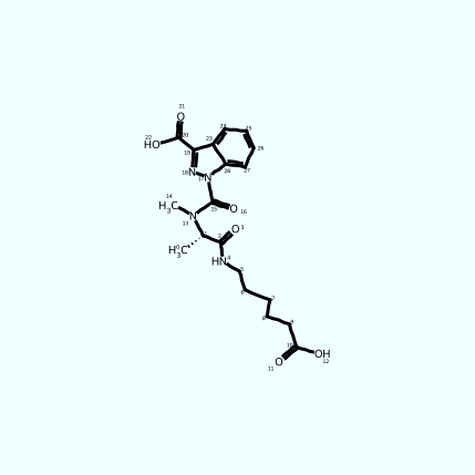 C[C@@H](C(=O)NCCCCCC(=O)O)N(C)C(=O)n1nc(C(=O)O)c2ccccc21